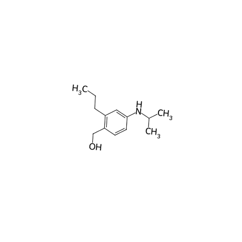 CCCc1cc(NC(C)C)ccc1CO